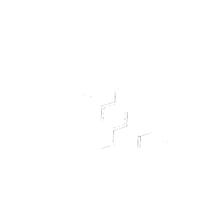 COc1cc(N)c(Cl)cc1C(=O)OCl